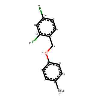 CC(C)(C)c1ccc(OCc2ccc(F)cc2F)cc1